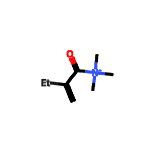 C=C(CC)C(=O)[N+](C)(C)C